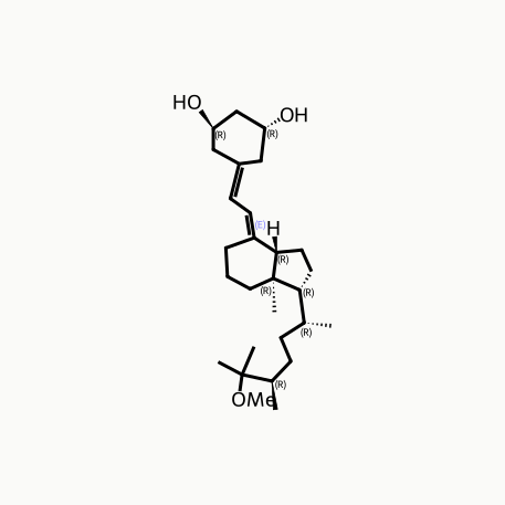 COC(C)(C)[C@H](C)CC[C@@H](C)[C@H]1CC[C@H]2/C(=C/C=C3C[C@@H](O)C[C@H](O)C3)CCC[C@]12C